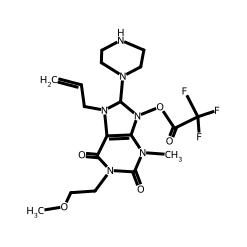 C=CCN1c2c(n(C)c(=O)n(CCOC)c2=O)N(OC(=O)C(F)(F)F)C1N1CCNCC1